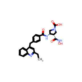 CCc1cc(Cc2ccc(C(=O)N[C@@H]3CN(C(=O)O)C[C@@H]3C(=O)NO)cc2)c2ccccc2n1